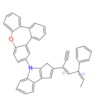 C#C/C(=C\C(=C/C)c1ccccc1)C1=Cc2c(n(-c3ccc4c(c3)-c3ccccc3-c3ccccc3O4)c3ccccc23)C1